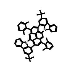 Cc1cccc(C)c1-c1cc2c3c(cc4c(-c5c(C)cccc5C)cc5c6c(cc1c3c46)B1c3ccccc3-c3cc(C(C)(C)C)cc-5c31)B1c3ccccc3-c3cc(C(C)(C)C)cc-2c31